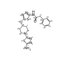 Nc1nnc(N2CCC(Oc3nnc(NC(=O)Cc4ccccc4)s3)CC2)s1